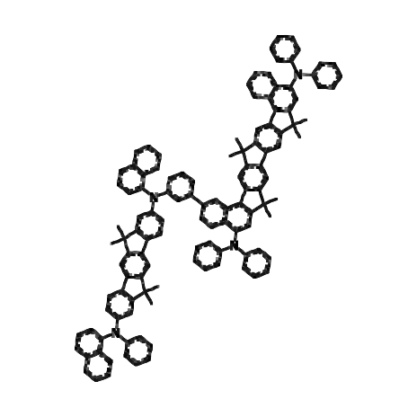 CC1(C)c2cc(N(c3ccccc3)c3cccc4ccccc34)ccc2-c2cc3c(cc21)-c1ccc(N(c2cccc(-c4ccc5c(N(c6ccccc6)c6ccccc6)cc6c(c5c4)-c4cc5c(cc4C6(C)C)-c4cc6c(cc4C5(C)C)-c4c(cc(N(c5ccccc5)c5ccccc5)c5ccccc45)C6(C)C)c2)c2cccc4ccccc24)cc1C3(C)C